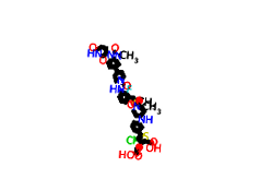 Cn1c(=O)n(C2CCC(=O)NC2=O)c2ccc(C3CCN(C(=O)Nc4cccc(CS(=O)(=O)N5CC[C@@H](Nc6cccc(-c7sc(C(=O)O)c(OCC(=O)O)c7Cl)c6)CC5(C)C)c4F)CC3)cc21